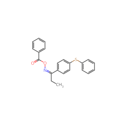 CCC(=NOC(=O)c1ccccc1)c1ccc(Sc2ccccc2)cc1